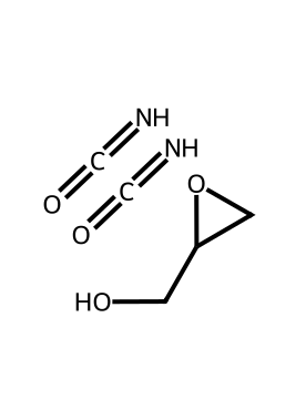 N=C=O.N=C=O.OCC1CO1